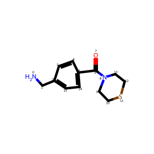 NCc1ccc(C(=O)N2CCSCC2)cc1